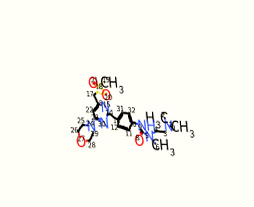 CN(C)CCN(C)C(=O)Nc1ccc(-c2nc(CS(C)(=O)=O)cc(N3CCOCC3)n2)cc1